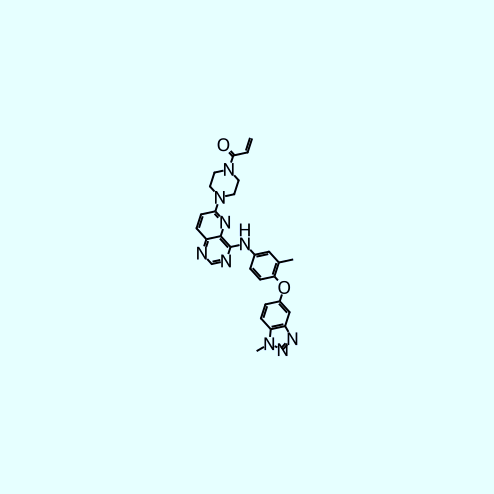 C=CC(=O)N1CCN(c2ccc3ncnc(Nc4ccc(Oc5ccc6c(c5)nnn6C)c(C)c4)c3n2)CC1